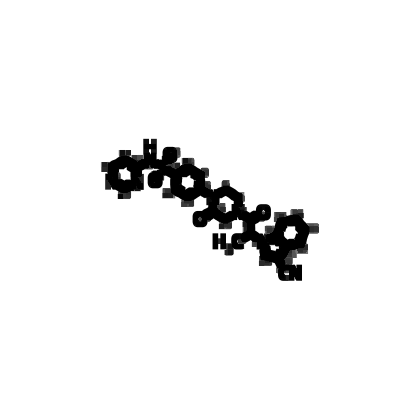 CC(C(=O)N1CCN(c2ccc(S(=O)(=O)Nc3ccncn3)cc2)C(=O)C1)n1cc(C#N)c2ccccc21